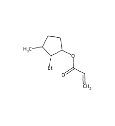 C=CC(=O)OC1CCC(C)C1CC